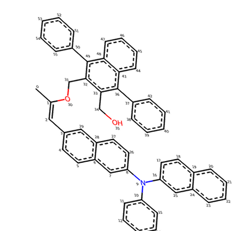 CC(=Cc1ccc2cc(N(c3ccccc3)c3ccc4ccccc4c3)ccc2c1)OCc1c(CO)c(-c2ccccc2)c2ccccc2c1-c1ccccc1